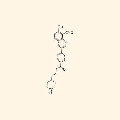 O=Cc1c(O)ccc2cc(-c3ccc(C(=O)CCCC4CCNCC4)cc3)ccc12